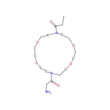 CCC(=O)N1CCOCCOCCN(C(=O)CN)CCOCCOCC1